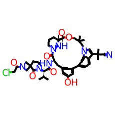 CC(C)[C@@H](C(=O)N[C@H]1Cc2cc(O)cc(c2)-c2ccc3c(C(C)(C)C#N)cn(c3c2)CC(C)(C)COC(=O)[C@@H]2CCCN(N2)C1=O)N1CCC2(CN(C(=O)CCl)C2)C1=O